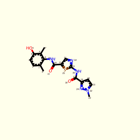 Cc1ccc(O)c(C)c1NC(=O)c1cnc(NC(=O)c2ccn(C)n2)s1